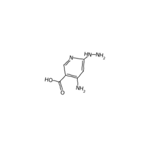 NNc1cc(N)c(C(=O)O)cn1